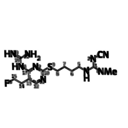 CNC(=NC#N)NCCCCSc1ncc(CCF)c(NC(=N)N)n1